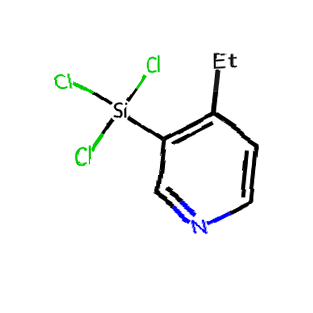 CCc1ccncc1[Si](Cl)(Cl)Cl